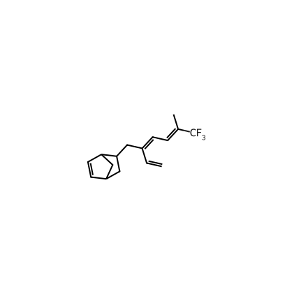 C=C/C(=C\C=C(/C)C(F)(F)F)CC1CC2C=CC1C2